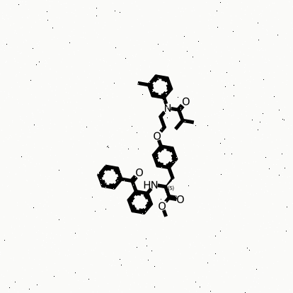 COC(=O)[C@H](Cc1ccc(OCCN(C(=O)C(C)C)c2cccc(C)c2)cc1)Nc1ccccc1C(=O)c1ccccc1